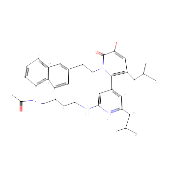 CC(=O)NCCCCNc1cc(-c2c(CC(C)C)cc(O)c(=O)n2CCc2ccc3ccccc3c2)cc(CC(C)C)n1